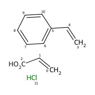 C=CC(=O)O.C=Cc1ccccc1.Cl